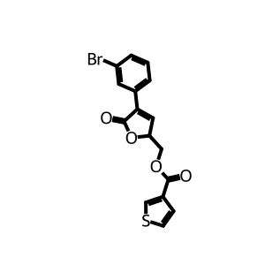 O=C1OC(COC(=O)c2ccsc2)C=C1c1cccc(Br)c1